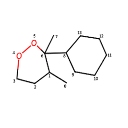 CC1CCOOC1(C)C1CCCCC1